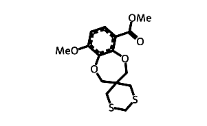 COC(=O)c1ccc(OC)c2c1OCC1(CO2)CSCSC1